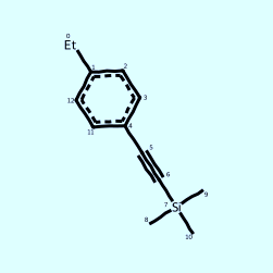 CCc1ccc(C#C[Si](C)(C)C)cc1